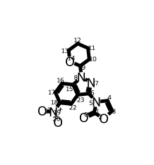 O=c1occn1-c1nn(C2CCCCO2)c2ccc([N+](=O)[O-])cc12